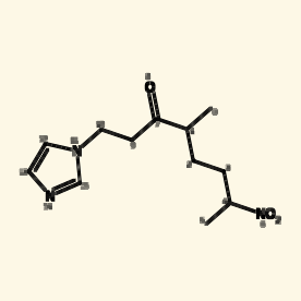 CC(CCC(C)[N+](=O)[O-])C(=O)CCn1ccnc1